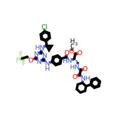 COC(=O)[C@H](CNC(=O)C(=O)NC1CCCCC1c1ccccc1)NC(=O)c1ccc(Nc2nc(NC3(c4ccc(Cl)cc4)CC3)nc(OCC(F)(F)F)n2)cc1